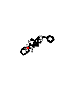 N#Cc1cnc(N2CC3CCC(C2)N3C(=O)NC2CC3(C2)CN(Cc2ccccc2)C3)nc1